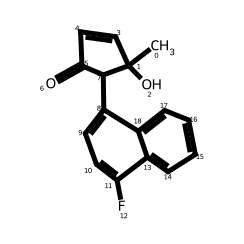 CC1(O)C=CC(=O)C1c1ccc(F)c2ccccc12